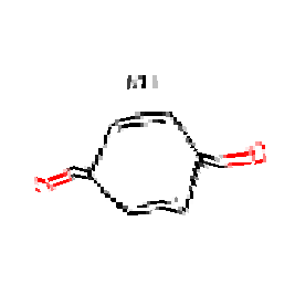 O=C1C=CC(=O)C=C1.[KH]